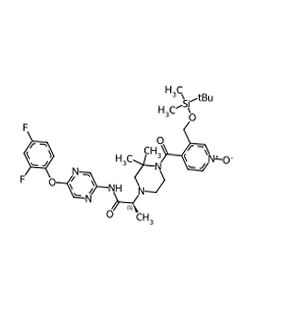 C[C@@H](C(=O)Nc1cnc(Oc2ccc(F)cc2F)cn1)N1CCN(C(=O)c2cc[n+]([O-])cc2CO[Si](C)(C)C(C)(C)C)C(C)(C)C1